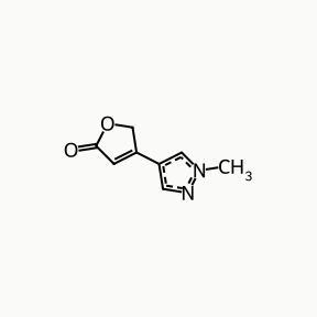 Cn1cc(C2=CC(=O)OC2)cn1